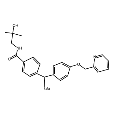 CC(C)(O)CNC(=O)c1ccc(C(c2ccc(OCc3ccccn3)cc2)C(C)(C)C)cc1